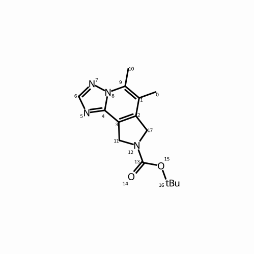 Cc1c2c(c3ncnn3c1C)CN(C(=O)OC(C)(C)C)C2